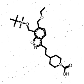 CCOCc1ccc2c(CCC3CCN(C(=O)O)CC3)noc2c1CO[Si](C)(C)C(C)(C)C